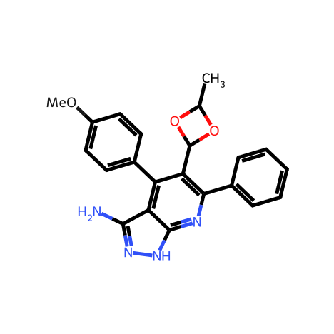 COc1ccc(-c2c(C3OC(C)O3)c(-c3ccccc3)nc3[nH]nc(N)c23)cc1